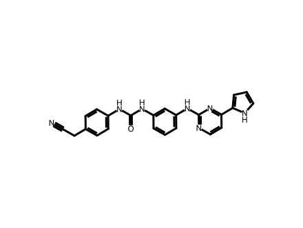 N#CCc1ccc(NC(=O)Nc2cccc(Nc3nccc(-c4ccc[nH]4)n3)c2)cc1